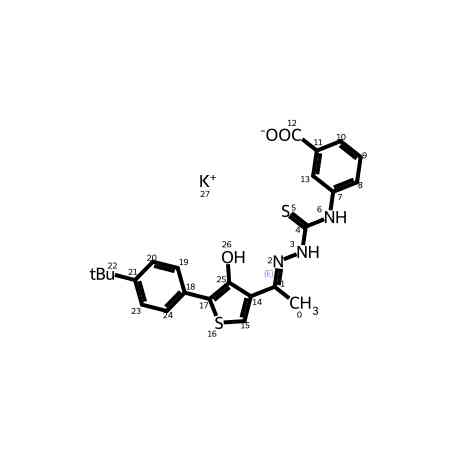 C/C(=N\NC(=S)Nc1cccc(C(=O)[O-])c1)c1csc(-c2ccc(C(C)(C)C)cc2)c1O.[K+]